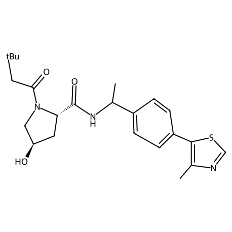 Cc1ncsc1-c1ccc(C(C)NC(=O)[C@@H]2C[C@@H](O)CN2C(=O)CC(C)(C)C)cc1